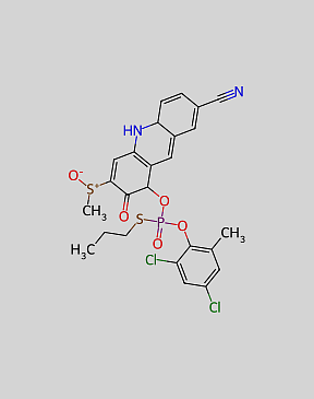 CCCSP(=O)(Oc1c(C)cc(Cl)cc1Cl)OC1C(=O)C([S+](C)[O-])=CC2=C1C=C1C=C(C#N)C=CC1N2